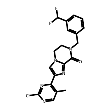 Cc1cnc(Cl)nc1-c1cn2c(n1)C(=O)N(Cc1cccc(C(F)F)c1)CC2